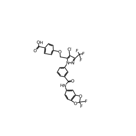 O=C(O)c1ccc(OCc2c(Cl)c(C(F)(F)F)nn2-c2cccc(C(=O)Nc3ccc4c(c3)OC(F)(F)O4)c2)cc1